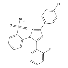 NS(=O)(=O)c1ccccc1-n1nc(-c2ccc(Cl)cc2)cc1-c1ccccc1F